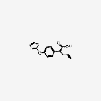 C=CCC(C(=O)O)c1ccc(Oc2nccs2)cc1